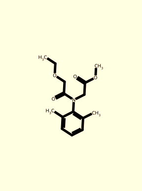 CCOCC(=O)N(CC(=O)OC)c1c(C)cccc1C